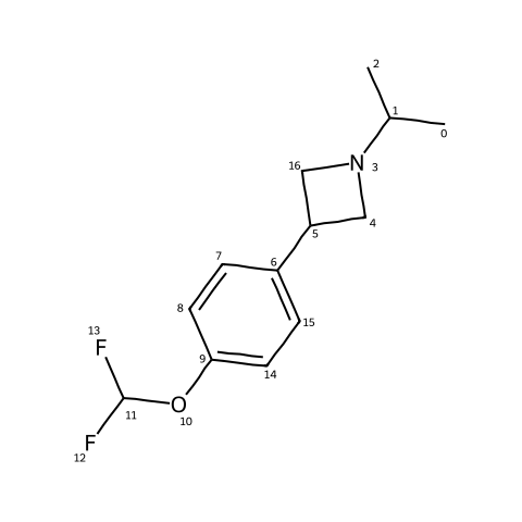 CC(C)N1CC(c2ccc(OC(F)F)cc2)C1